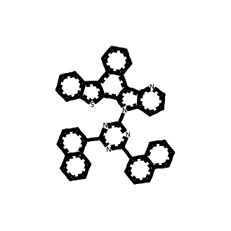 c1ccc2c(-c3nc(-c4cccc5ccccc45)nc(-n4c5cccnc5c5c6ccccc6c6c7ccccc7sc6c54)n3)cccc2c1